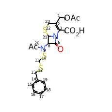 CC(=O)OCC1=C(C(=O)O)N2C(=O)[C@@H](N(SCSCc3ccccc3)C(C)=O)C2SC1